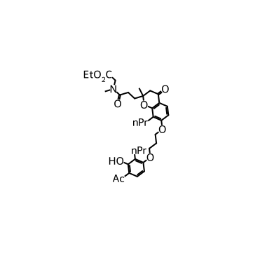 CCCc1c(OCCCOc2ccc3c(c2CCC)OC(C)(CCC(=O)N(C)CC(=O)OCC)CC3=O)ccc(C(C)=O)c1O